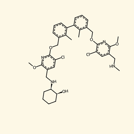 CNCc1cc(Cl)c(OCc2cccc(-c3cccc(COc4nc(OC)c(CN[C@@H]5CCCC[C@@H]5O)cc4Cl)c3C)c2C)nc1OC